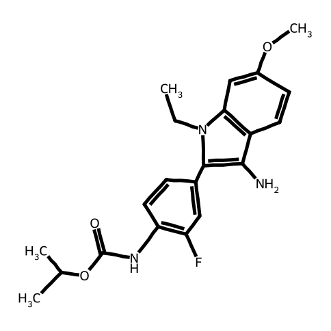 CCn1c(-c2ccc(NC(=O)OC(C)C)c(F)c2)c(N)c2ccc(OC)cc21